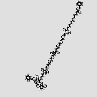 O=C(CCCCCCCCCCCCC(=O)OCc1ccccc1)NCCOCCOCCOCCC(=O)NCCOCCOCCOCCC(=O)NCCCC[C@H](NC(=O)OCc1ccccc1)C(=O)ON1C(=O)CCC1=O